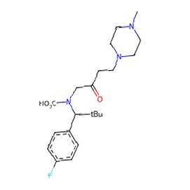 CN1CCN(CCC(=O)CN(C(=O)O)C(c2ccc(F)cc2)C(C)(C)C)CC1